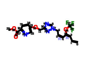 C=C/C=C(\C=C/Cn1cnc(COc2ccc(C(=O)OC)nc2)n1)OC(F)(F)F